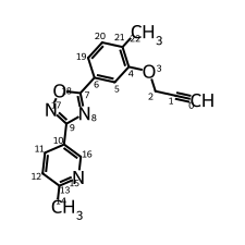 C#CCOc1cc(-c2nc(-c3ccc(C)nc3)no2)ccc1C